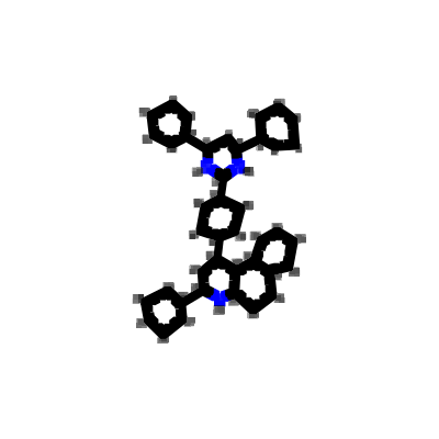 c1ccc(-c2cc(-c3ccccc3)nc(-c3ccc(-c4cc(-c5ccccc5)nc5ccc6ccccc6c45)cc3)n2)cc1